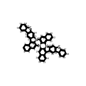 c1ccc2c(c1)cc1c3c2c2cc4c(cc2n3c2cc3ccccc3c3c2-n1c1cc2ccccc2c2c5cc6c(cc5n3c21)sc1ccccc16)sc1ccccc14